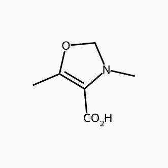 CC1=C(C(=O)O)N(C)CO1